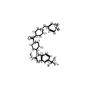 CSc1nc2cc(C(F)(F)F)ccc2n1C1CCN(C(=O)C2CCN(Cc3ccnnc3)CC2)CC1